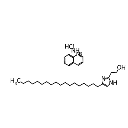 CCCCCCCCCCCCCCCCCCc1c[nH]c(CCO)n1.Cl.N.c1ccc2ncccc2c1